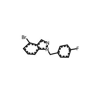 Fc1ccc(Cn2ncc3c(Br)cccc32)cc1